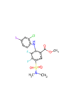 COC(=O)c1cc(S(=O)(=O)N(C)C)c(F)c(F)c1Nc1ccc(I)cc1Cl